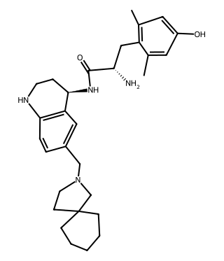 Cc1cc(O)cc(C)c1C[C@H](N)C(=O)N[C@@H]1CCNc2ccc(CN3CCC4(CCCCC4)C3)cc21